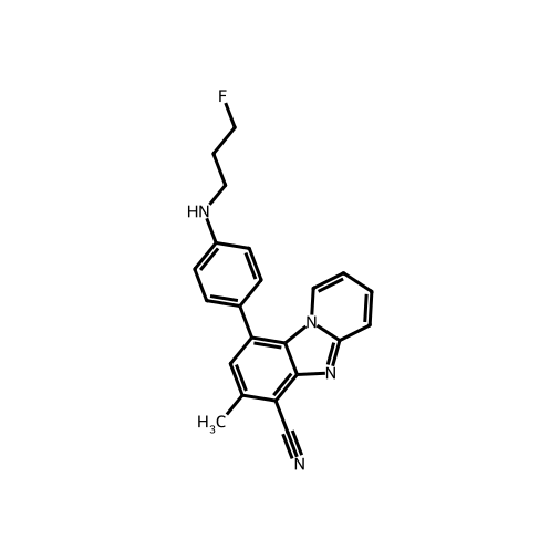 Cc1cc(-c2ccc(NCCCF)cc2)c2c(nc3ccccn32)c1C#N